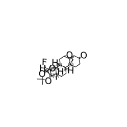 CC1(C)O[C@@H]2C[C@H]3[C@@H]4CC5OC[C@@]6(CCC(=O)C=C56)[C@H]4CC[C@]3(C)[C@]2(C(=O)CF)O1